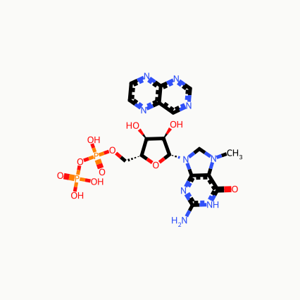 CN1CN([C@@H]2O[C@H](COP(=O)(O)OP(=O)(O)O)[C@@H](O)[C@H]2O)c2nc(N)[nH]c(=O)c21.c1cnc2ncncc2n1